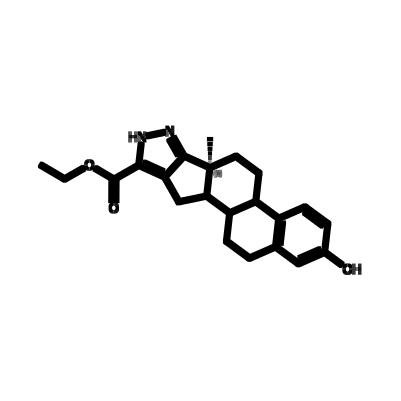 CCOC(=O)c1[nH]nc2c1CC1C3CCc4cc(O)ccc4C3CC[C@]21C